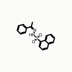 CC(=NNS(=O)(=O)c1cccc2ccccc12)c1ccccc1